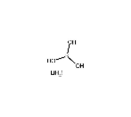 OB(O)O.[LiH4]